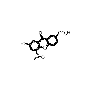 CCc1cc([S+](C)[O-])c2oc3ccc(C(=O)O)cc3c(=O)c2c1